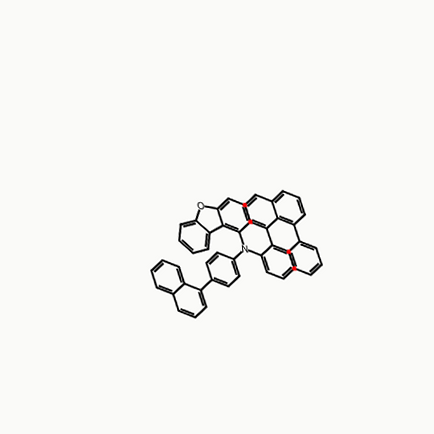 c1ccc(-c2cccc3cccc(-c4ccccc4N(c4ccc(-c5cccc6ccccc56)cc4)c4cccc5oc6ccccc6c45)c23)cc1